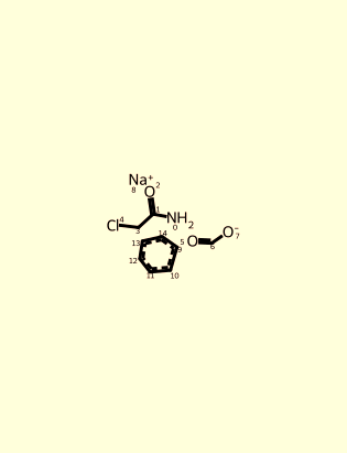 NC(=O)CCl.O=C[O-].[Na+].c1ccccc1